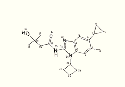 Cc1cc2c(cc1C1CC1)nc(NC(=O)CC(C)(C)O)n2C1CCC1